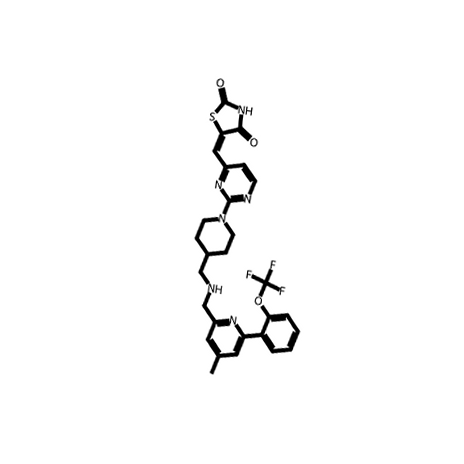 Cc1cc(CNCC2CCN(c3nccc(C=C4SC(=O)NC4=O)n3)CC2)nc(-c2ccccc2OC(F)(F)F)c1